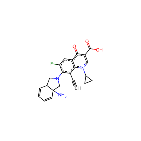 C#Cc1c(N2CC3C=CC=CC3(N)C2)c(F)cc2c(=O)c(C(=O)O)cn(C3CC3)c12